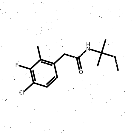 CCC(C)(C)NC(=O)Cc1ccc(Cl)c(F)c1C